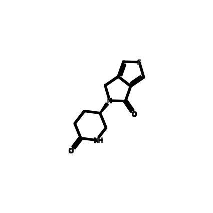 O=C1CC[C@@H](N2Cc3cscc3C2=O)CN1